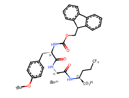 CC[C@H](C)[C@H](NC(=O)[C@H](Cc1ccc(OC(C)(C)C)cc1)NC(=O)OCC1c2ccccc2-c2ccccc21)C(=O)N[C@@H](CCC(F)(F)F)C(=O)O